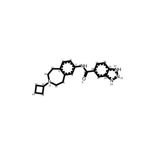 O=C(Nc1ccc2c(c1)CCN(C1CCC1)CC2)c1ccc2[nH]nnc2c1